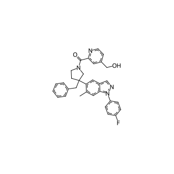 Cc1cc2c(cnn2-c2ccc(F)cc2)cc1C1(Cc2ccccc2)CCN(C(=O)c2cc(CO)ccn2)C1